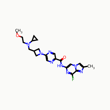 COCCN(CC1CN(c2cnc(C(=O)Nc3cn4cc(C)nc4c(F)n3)cn2)C1)C1CC1